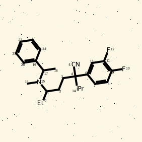 CCC(CCC(C#N)(c1ccc(F)c(F)c1)C(C)C)N(C)C(C)c1ccccc1